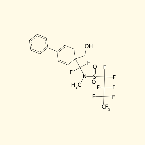 CN(C(F)(F)C1(CO)C=CC(c2ccccc2)=CC1)S(=O)(=O)C(F)(F)C(F)(F)C(F)(F)C(F)(F)F